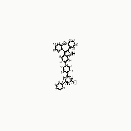 Clc1nc(-c2ccccc2)nc(-c2ccc(-c3ccc4c5c([nH]c4c3)-c3ccccc3Oc3ccccc3-5)cc2)n1